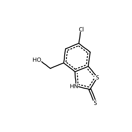 OCc1cc(Cl)cc2sc(=S)[nH]c12